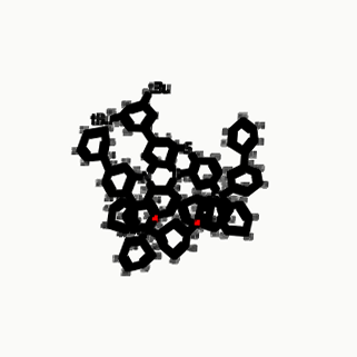 CC(C)(C)c1cc(-c2cc3c4c(c2)N(c2cc(-c5ccccc5)ccc2-c2ccccc2)c2cc([Si](c5ccccc5)(c5ccccc5)c5cccc(-c6ccccc6)c5)ccc2B4c2cc([Si](c4ccccc4)(c4ccccc4)c4cccc(-c5ccccc5)c4)ccc2S3)cc(C(C)(C)C)c1